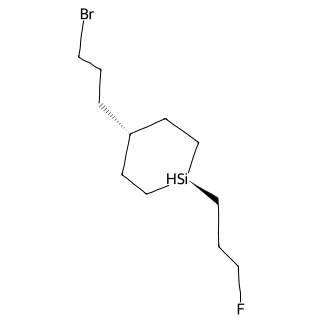 FCCC[Si@H]1CC[C@H](CCCBr)CC1